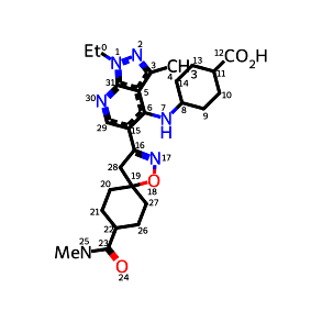 CCn1nc(C)c2c(NC3CCC(C(=O)O)CC3)c(C3=NOC4(CCC(C(=O)NC)CC4)C3)cnc21